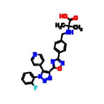 CC(C)(NCc1ccc(-c2noc(-c3nnn(-c4ccccc4F)c3-c3ccncc3)n2)cc1)C(=O)O